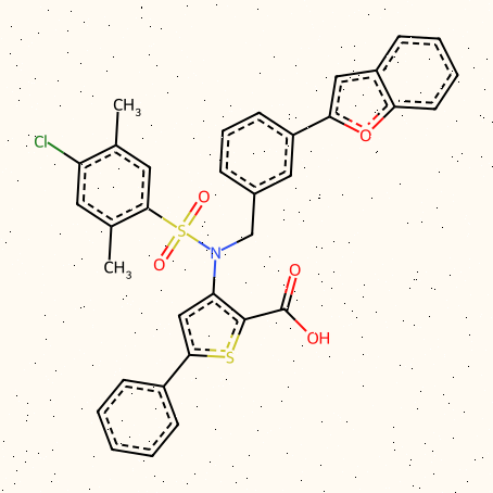 Cc1cc(S(=O)(=O)N(Cc2cccc(-c3cc4ccccc4o3)c2)c2cc(-c3ccccc3)sc2C(=O)O)c(C)cc1Cl